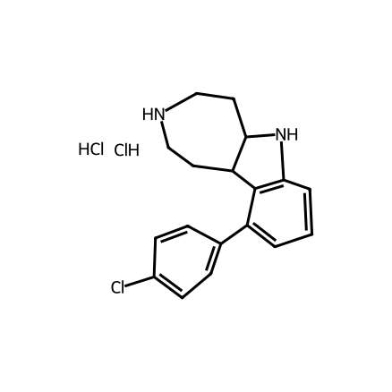 Cl.Cl.Clc1ccc(-c2cccc3c2C2CCNCCC2N3)cc1